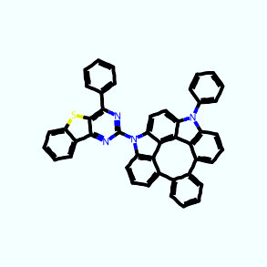 c1ccc(-c2nc(-n3c4cccc5c6ccccc6c6cccc7c6c6c(c54)c3ccc6n7-c3ccccc3)nc3c2sc2ccccc23)cc1